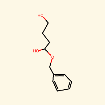 OCCCC(O)OCc1ccccc1